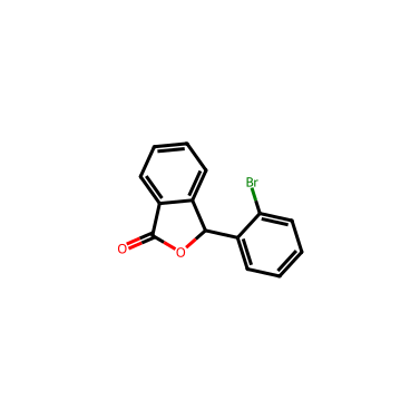 O=C1OC(c2ccccc2Br)c2ccccc21